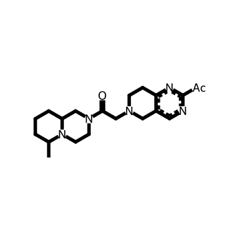 CC(=O)c1ncc2c(n1)CCN(CC(=O)N1CCN3C(C)CCCC3C1)C2